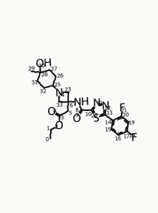 CCOC(=O)CC1(NC(=O)c2nnc(-c3ccc(F)cc3F)s2)CN(C2CCC(C)(O)CC2)C1